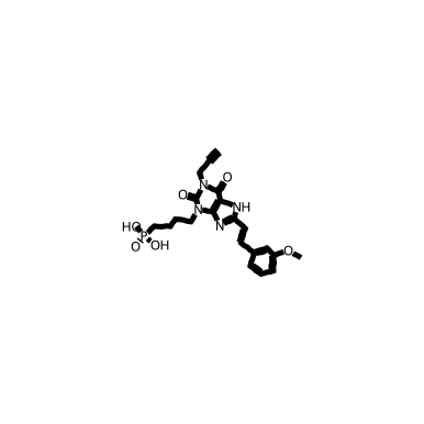 C#CCn1c(=O)c2[nH]c(C=Cc3cccc(OC)c3)nc2n(CCCCP(=O)(O)O)c1=O